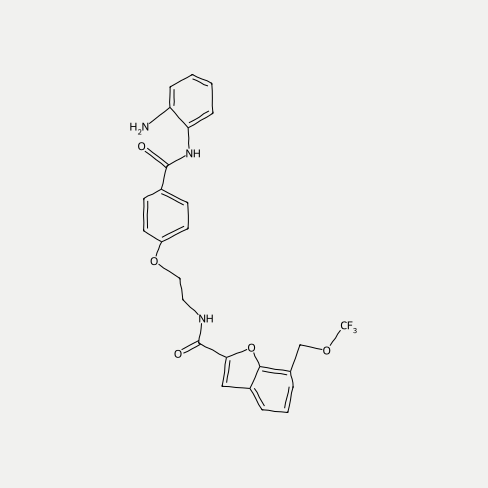 Nc1ccccc1NC(=O)c1ccc(OCCNC(=O)c2cc3cccc(COC(F)(F)F)c3o2)cc1